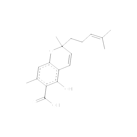 CC(C)=CCCC1(C)C=Cc2c(cc(C)c(C(=O)O)c2O)O1